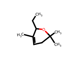 CCC1OC(C)(C)CC=C1C